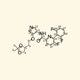 CC1(C)OCC(CCOc2sncc2NC(=O)c2ccc(F)c(-c3c(F)cccc3F)n2)O1